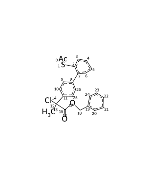 CC(=O)Sc1ccccc1-c1ccc(C(C)(Cl)C(=O)OCc2ccccc2)cc1